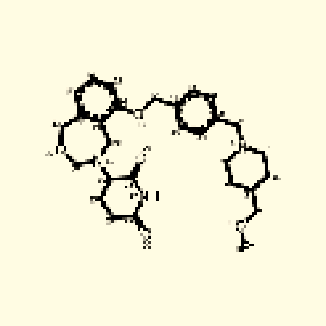 CCOCC1CCN(Cc2ccc(COc3cccc4c3CN(C3CCC(=O)NC3=O)COC4)cc2)CC1